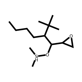 CCCCC(C(O[SiH](C)C)C1CO1)C(C)(C)C